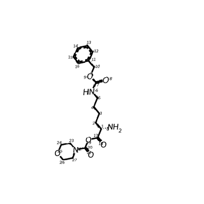 N[C@@H](CCCCNC(=O)OCc1ccccc1)C(=O)OC(=O)N1CCOCC1